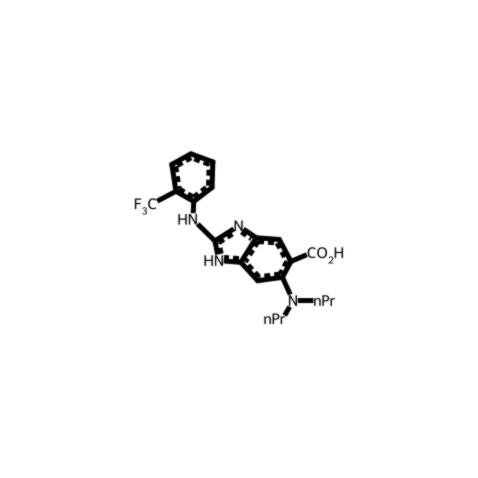 CCCN(CCC)c1cc2[nH]c(Nc3ccccc3C(F)(F)F)nc2cc1C(=O)O